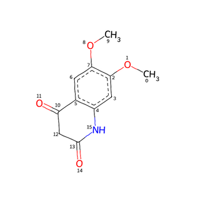 COc1cc2c(cc1OC)C(=O)CC(=O)N2